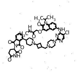 CNC(=O)COc1cc2cc(Nc3nc(N4CCN(CC5CC(N6CCC(c7cccc8c7C(=O)N([C@@H]7CCC(=O)NC7=O)C8=O)CC6)C5)CC4)ncc3Cl)ccc2n(C(C)C)c1=O